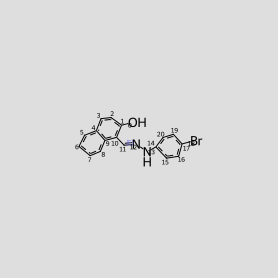 Oc1ccc2ccccc2c1/C=N/Nc1ccc(Br)cc1